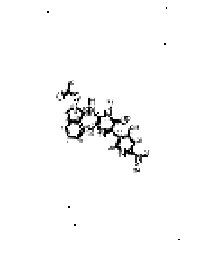 CC(=O)O[C@H]1Cc2ccccc2[C@H]1Nc1c(C)nc(-c2cnc(N(C)C)cc2C)c(=O)n1C